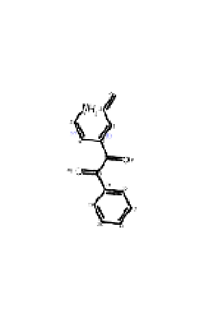 C=C/C=C(\C=C/N)C(=O)C(=O)c1ccccc1